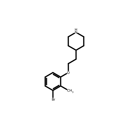 Cc1c(Br)cccc1OCCC1CCNCC1